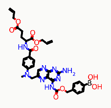 C=CCOC(=O)CCC(NC(=O)c1ccc(N(C)Cc2cnc3nc(N)nc(NC(=O)OCc4ccc(B(O)O)cc4)c3n2)cc1)C(=O)OCC=C